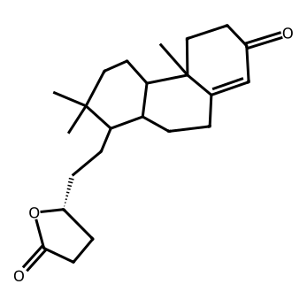 CC1(C)CCC2C(CCC3=CC(=O)CCC32C)C1CC[C@@H]1CCC(=O)O1